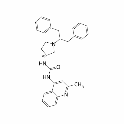 Cc1cc(NC(=O)N[C@@H]2CCN(C(Cc3ccccc3)Cc3ccccc3)C2)c2ccccc2n1